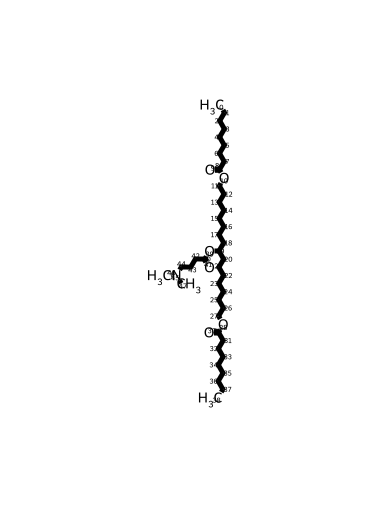 CCCCCCCCC(=O)OCCCCCCCCC(CCCCCCCCOC(=O)CCCCCCCC)OC(=O)CCCN(C)C